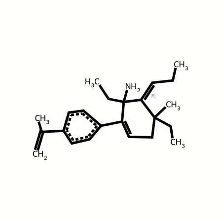 C=C(C)c1ccc(C2=CCC(C)(CC)/C(=C\CC)C2(N)CC)cc1